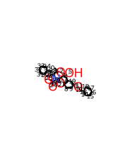 CC1O[C@@H]([C@H](O)c2cccc(OCc3ccccc3)c2)C(=O)N2C(=O)OC[C@@]12Cc1ccccc1